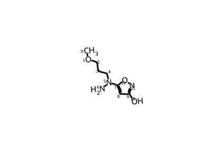 COCCCN(N)c1cc(O)no1